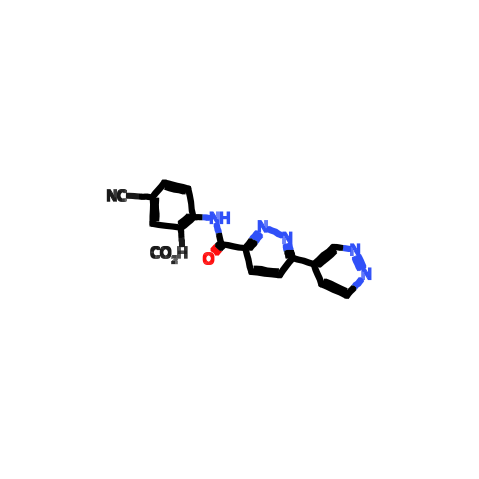 N#Cc1ccc(NC(=O)c2ccc(-c3ccnnc3)nn2)c(C(=O)O)c1